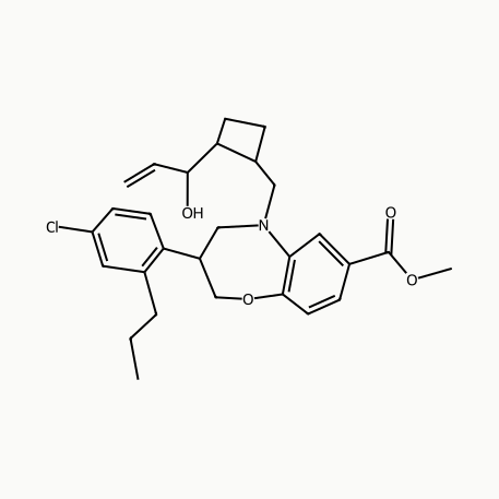 C=CC(O)C1CCC1CN1CC(c2ccc(Cl)cc2CCC)COc2ccc(C(=O)OC)cc21